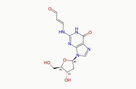 O=CC=CNc1nc2c(ncn2[C@H]2C[C@H](O)[C@@H](CO)O2)c(=O)[nH]1